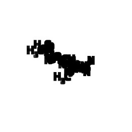 C=C(/N=C\C(=C/C)Oc1ccnc2cc(OC)c(OC)cc12)NC(=O)c1nn(-c2cncc(C#N)n2)cc1OCC